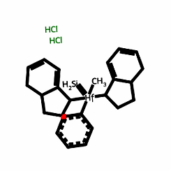 Cl.Cl.[CH3][Hf](=[SiH2])([c]1ccccc1)([CH]1CCC2CC=CC=C21)[CH]1CCC2CC=CC=C21